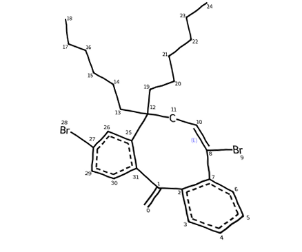 C=C1c2ccccc2/C(Br)=C\CC(CCCCCC)(CCCCCC)c2cc(Br)ccc21